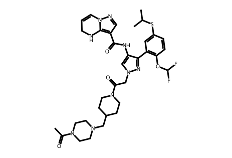 CC(=O)N1CCN(CC2CCN(C(=O)Cn3cc(NC(=O)c4cnn5c4NCC=C5)c(-c4cc(SC(C)C)ccc4OC(F)F)n3)CC2)CC1